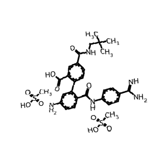 CC(C)(C)CNC(=O)c1ccc(-c2cc(N)ccc2C(=O)Nc2ccc(C(=N)N)cc2)c(C(=O)O)c1.CS(=O)(=O)O.CS(=O)(=O)O